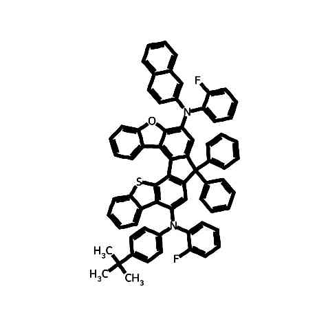 CC(C)(C)c1ccc(N(c2ccccc2F)c2cc3c(c4sc5ccccc5c24)-c2c(cc(N(c4ccc5ccccc5c4)c4ccccc4F)c4oc5ccccc5c24)C3(c2ccccc2)c2ccccc2)cc1